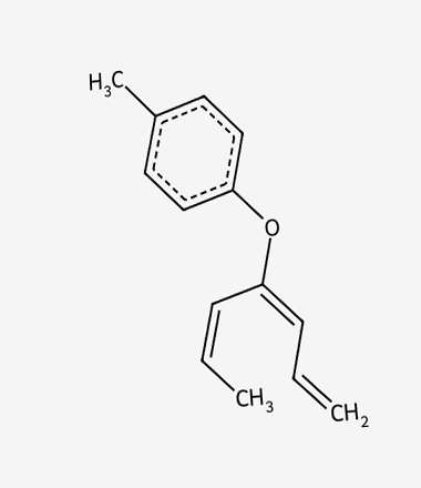 C=C/C=C(\C=C/C)Oc1ccc(C)cc1